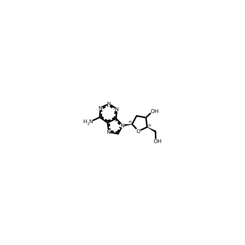 Nc1nnnc2c1ncn2[C@H]1CC(O)[C@@H](CO)O1